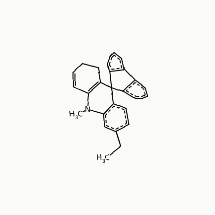 CCc1ccc2c(c1)N(C)C1=C(CCC=C1)C21c2ccccc2-c2ccccc21